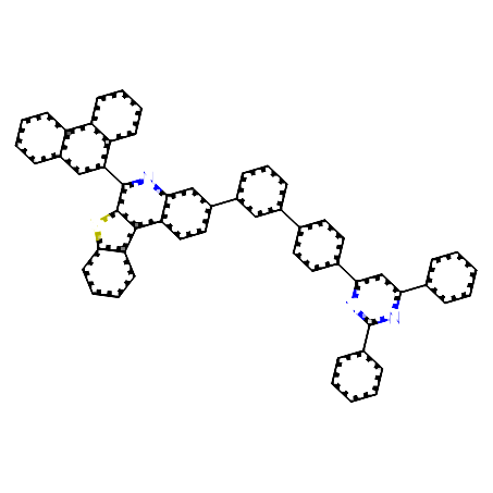 c1ccc(-c2cc(-c3ccc(-c4cccc(-c5ccc6c(c5)nc(-c5cc7ccccc7c7ccccc57)c5sc7ccccc7c56)c4)cc3)nc(-c3ccccc3)n2)cc1